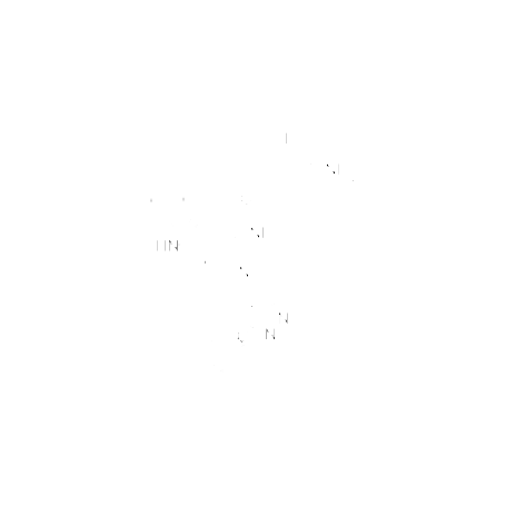 CN1N=C2CCN(C(=O)C(Cc3c[nH]c4ccccc34)NC(=O)c3cccc(C(C)(N)CI)c3)CC2(Cc2ccccc2)C1=O